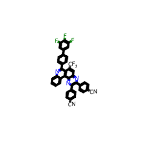 N#Cc1ccc(-c2nc3cc(C(F)(F)F)c4c(-c5ccc(-c6cc(F)c(F)c(F)c6)cc5)nc5ccccc5c4c3nc2-c2ccc(C#N)cc2)cc1